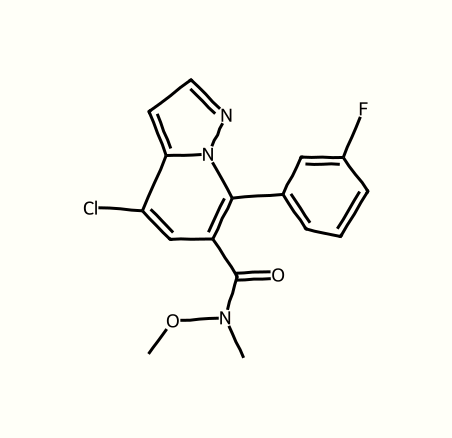 CON(C)C(=O)c1cc(Cl)c2ccnn2c1-c1cccc(F)c1